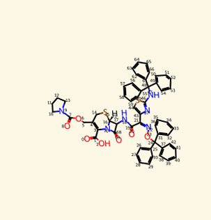 O=C(O)C1=C(COC(=O)N2CCCC2)CS[C@@H]2C(NC(=O)/C(=N\OC(c3ccccc3)(c3ccccc3)c3ccccc3)c3csc(NC(c4ccccc4)(c4ccccc4)c4ccccc4)n3)C(=O)N12